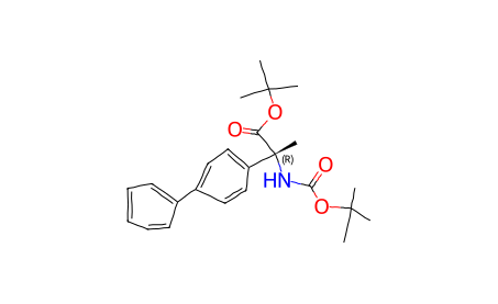 CC(C)(C)OC(=O)N[C@@](C)(C(=O)OC(C)(C)C)c1ccc(-c2ccccc2)cc1